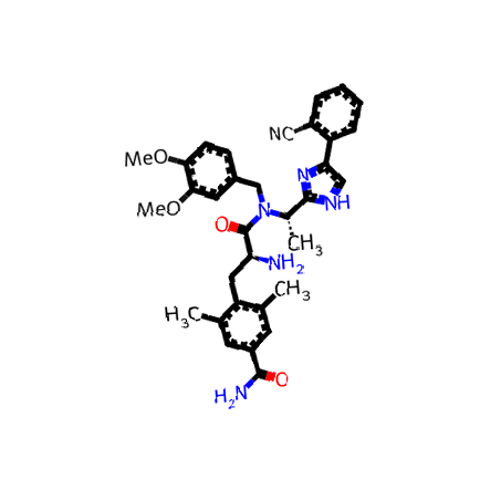 COc1ccc(CN(C(=O)[C@@H](N)Cc2c(C)cc(C(N)=O)cc2C)[C@@H](C)c2nc(-c3ccccc3C#N)c[nH]2)cc1OC